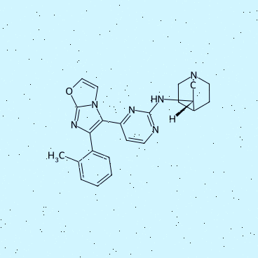 Cc1ccccc1-c1nc2occn2c1-c1ccnc(N[C@@H]2CN3CCC2CC3)n1